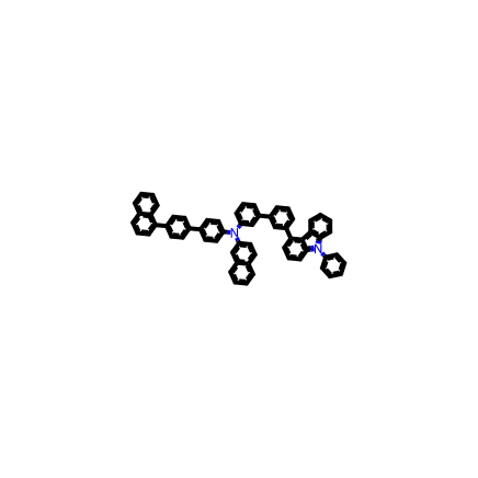 c1ccc(-n2c3ccccc3c3c(-c4cccc(-c5cccc(N(c6ccc(-c7ccc(-c8cccc9ccccc89)cc7)cc6)c6ccc7ccccc7c6)c5)c4)cccc32)cc1